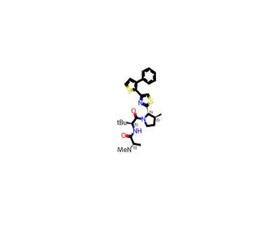 CN[C@@H](C)C(=O)N[C@H](C(=O)N1CC[C@H](C)[C@H]1c1nc(-c2sccc2-c2ccccc2)cs1)C(C)(C)C